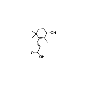 CC1=C(C=CC(=O)O)C(C)(C)CCC1O